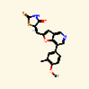 Cc1cc(-c2cncc3cc(/C=C4/SC(=S)NC4=O)oc23)ccc1OC(C)C